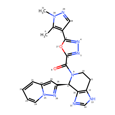 Cc1c(-c2nnc(C(=O)N3CCc4[nH]cnc4[C@H]3c3cc4ccccn4n3)o2)cnn1C